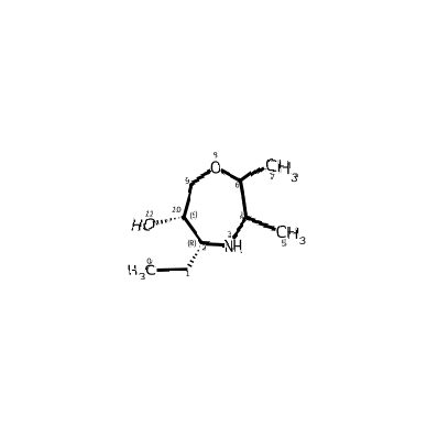 CC[C@H]1NC(C)C(C)OC[C@H]1O